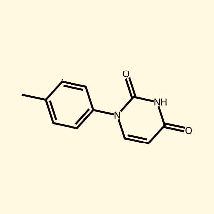 Cc1[c]cc(-n2ccc(=O)[nH]c2=O)cc1